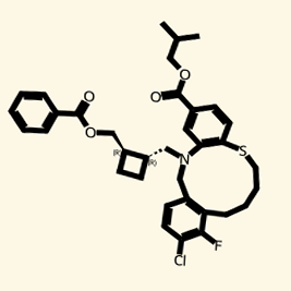 CC(C)COC(=O)c1ccc2c(c1)N(C[C@@H]1CC[C@H]1COC(=O)c1ccccc1)Cc1ccc(Cl)c(F)c1CCCCS2